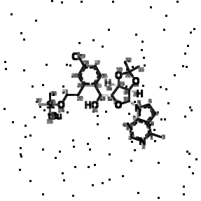 Cc1ncnc2c1ccn2[C@@H]1O[C@H](C(O)c2ccc(Cl)cc2CCO[Si](C)(C)C(C)(C)C)[C@H]2OC(C)(C)O[C@H]21